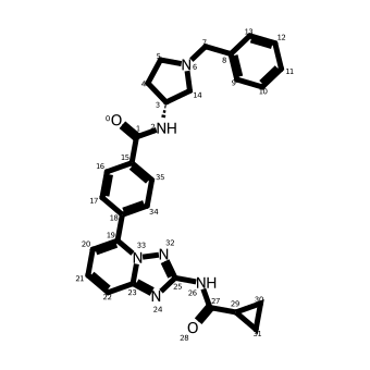 O=C(N[C@@H]1CCN(Cc2ccccc2)C1)c1ccc(-c2cccc3nc(NC(=O)C4CC4)nn23)cc1